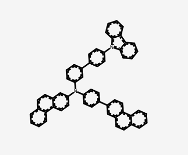 c1cc(-c2ccc(-n3c4ccccc4c4ccccc43)cc2)cc(N(c2ccc(-c3ccc4c(ccc5ccccc54)c3)cc2)c2ccc3c(ccc4ccccc43)c2)c1